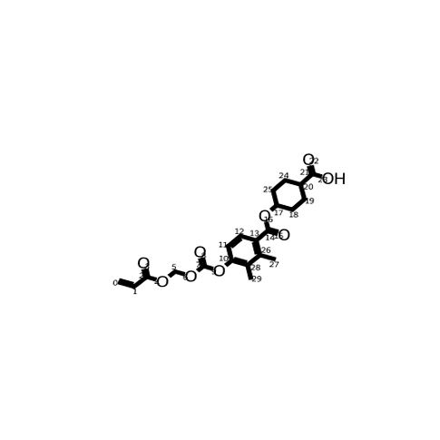 C=CC(=O)OCOC(=O)Oc1ccc(C(=O)OC2CCC(C(=O)O)CC2)c(C)c1C